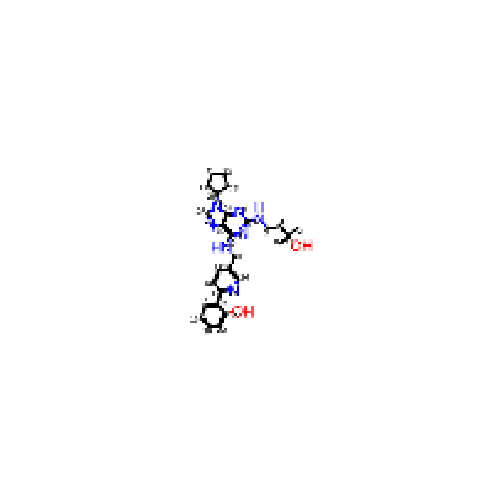 CC(C)(O)CCNc1nc(NCc2ccc(-c3ccccc3O)nc2)c2ncn(C3CCCC3)c2n1